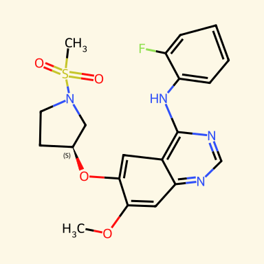 COc1cc2ncnc(Nc3ccccc3F)c2cc1O[C@H]1CCN(S(C)(=O)=O)C1